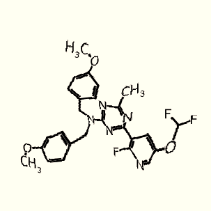 COc1ccc(CN(Cc2ccc(OC)cc2)c2nc(C)nc(-c3cc(OC(F)F)cnc3F)n2)cc1